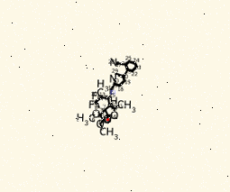 COC(=O)[C@@H](OC)[C@@]12CC(F)(F)[C@@H](C)[C@H](/C=C/c3ccc(-c4ccccc4C#N)cn3)[C@@H]1[C@@H](C)OC2=O